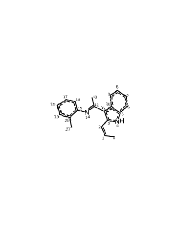 C/C=C\c1[nH]c2ccccc2c1/C(C)=N/c1ccccc1C